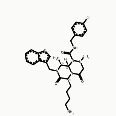 C[C@H]1[C@H]2N(C(=O)CN(C)N2C(=O)NCc2ccc(Cl)cc2)[C@@H](CCCCN)C(=O)N1Cc1csc2ccccc12